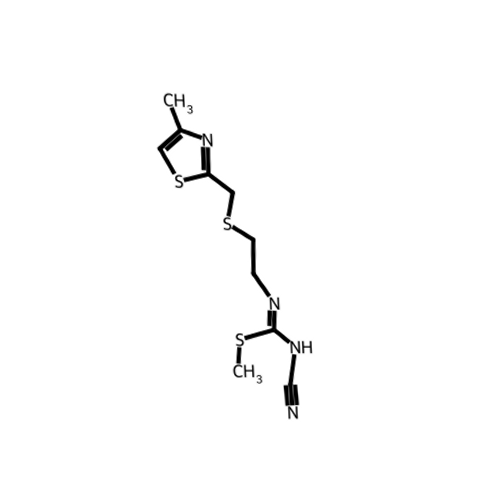 CS/C(=N\CCSCc1nc(C)cs1)NC#N